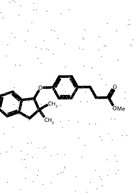 COC(=O)CCc1ccc(OC2c3ccccc3CC2(C)C)cc1